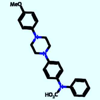 COc1ccc(N2CCN(c3ccc(N(C(=O)O)c4ccccc4)cc3)CC2)cc1